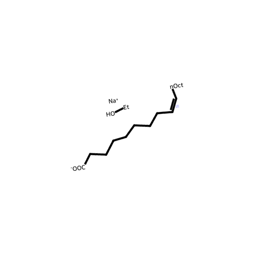 CCCCCCCC/C=C\CCCCCCCC(=O)[O-].CCO.[Na+]